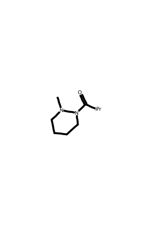 CC(C)C(=O)N1CCCCN1C